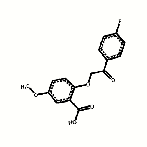 COc1ccc(OCC(=O)c2ccc(F)cc2)c(C(=O)O)c1